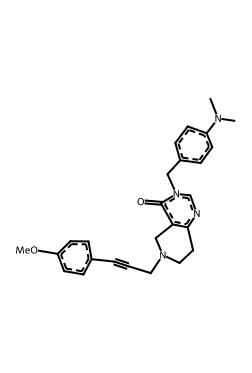 COc1ccc(C#CCN2CCc3ncn(Cc4ccc(N(C)C)cc4)c(=O)c3C2)cc1